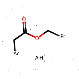 CC(=O)CC(=O)OCC(C)C.[AlH3]